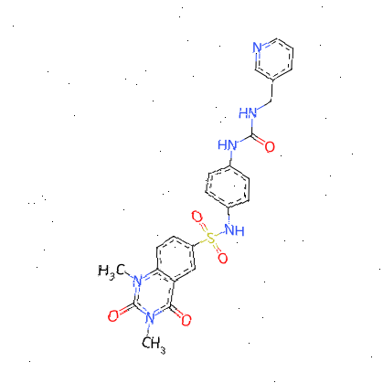 Cn1c(=O)c2cc(S(=O)(=O)Nc3ccc(NC(=O)NCc4cccnc4)cc3)ccc2n(C)c1=O